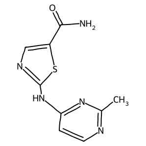 Cc1nccc(Nc2ncc(C(N)=O)s2)n1